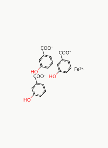 O=C([O-])c1cccc(O)c1.O=C([O-])c1cccc(O)c1.O=C([O-])c1cccc(O)c1.[Fe+3]